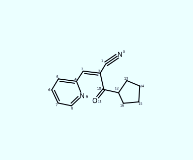 N#CC(=Cc1ccccn1)C(=O)C1CCCC1